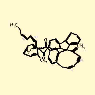 C=C(/C=C\C=C/CC)C(=O)c1ccc2c(c1)C1(C(=C)/C=C\C=C/Cc3ccc(C(=O)c4ccccc4C)cc31)c1ccccc1-2